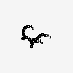 C=Cc1ccc(COCc2ccc(-n3c4ccccc4c4cc(-c5ccc(N(c6ccc(-c7ccccc7)cc6)c6ccc7c(c6)C(C)(C)c6ccc(COCc8ccc(C=C)cc8)cc6-7)cc5)ccc43)cc2)cc1